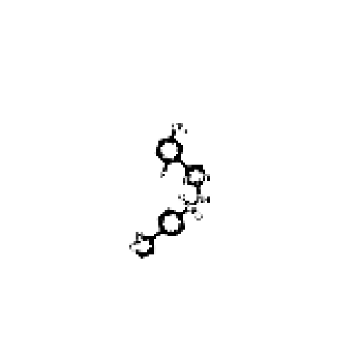 O=S(=O)(Nc1nc(-c2cc(C(F)(F)F)ccc2F)co1)c1ccc(-c2ccon2)cc1